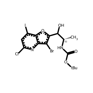 C[C@H](NC(=O)OC(C)(C)C)C(O)c1oc2c(I)cc(Cl)nc2c1Br